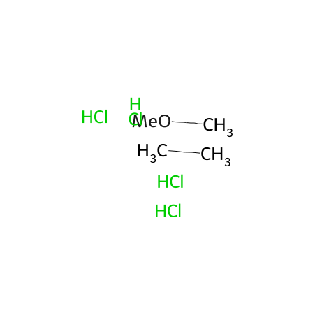 CC.COC.Cl.Cl.Cl.Cl